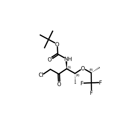 C[C@@H](O[C@H](C)C(F)(F)F)[C@H](NC(=O)OC(C)(C)C)C(=O)CCl